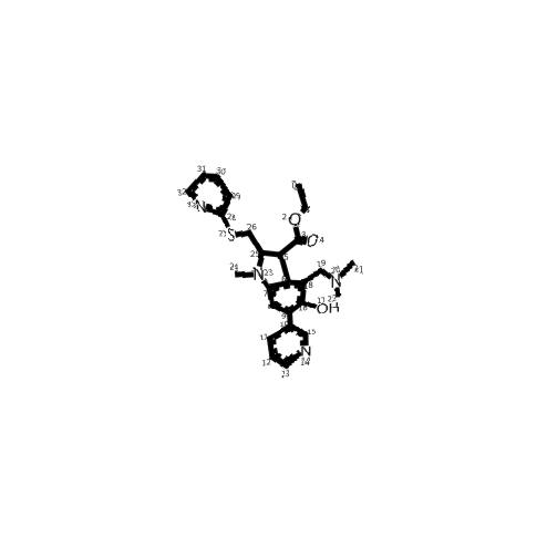 CCOC(=O)C1c2c(cc(-c3cccnc3)c(O)c2CN(C)C)N(C)C1CSc1ccccn1